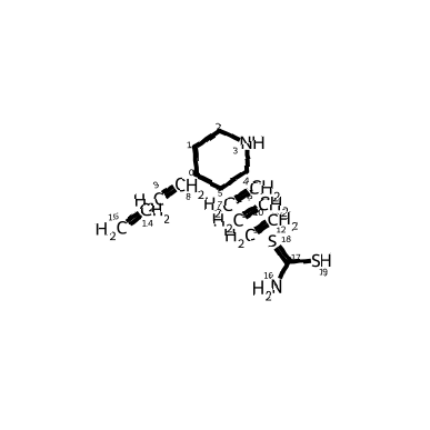 C1CCNCC1.C=C.C=C.C=C.C=C.C=C.NC(=S)S